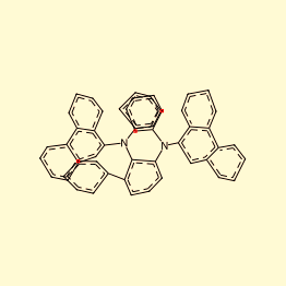 c1ccc(-c2cccc(N(c3ccccc3)c3cc4ccccc4c4ccccc34)c2N(c2ccccc2)c2cc3ccccc3c3ccccc23)cc1